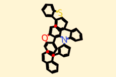 c1cc(-c2cccc3ccccc23)cc(N(c2ccccc2-c2ccc3c(c2)sc2ccccc23)c2cccc3oc4ccccc4c23)c1